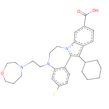 O=C(O)c1ccc2c(C3CCCCC3)c3n(c2c1)CCN(CCN1CCCOCC1)c1cc(F)ccc1-3